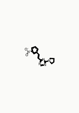 O=[N+]([O-])c1cccc(C=Cc2ncnc(N3CCCC3)n2)c1